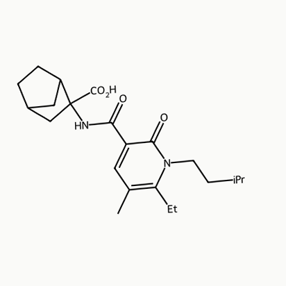 CCc1c(C)cc(C(=O)NC2(C(=O)O)CC3CCC2C3)c(=O)n1CCC(C)C